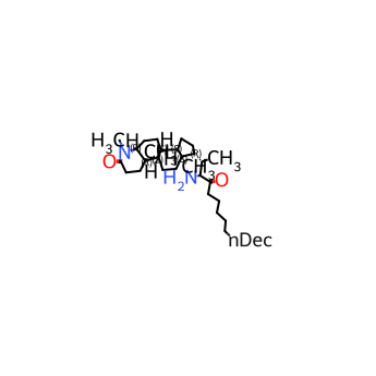 CCCCCCCCCCCCCCCC(=O)C(N)C(C)[C@H]1CC[C@H]2[C@@H]3CC[C@H]4N(C)C(=O)CC[C@]4(C)[C@H]3CC[C@]12C